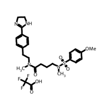 COc1ccc(S(=O)(=O)N(C)CCCC(=O)N(C)CCc2ccc(C3=NCCN3)cc2)cc1.O=C(O)C(F)(F)F